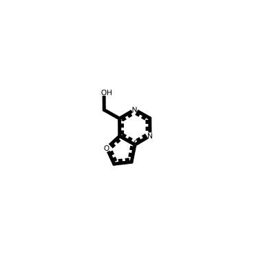 OCc1ncnc2ccoc12